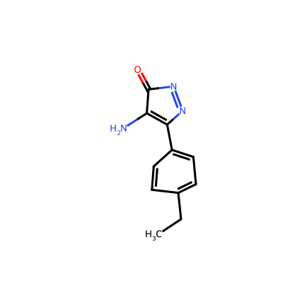 CCc1ccc(C2=C(N)C(=O)N=N2)cc1